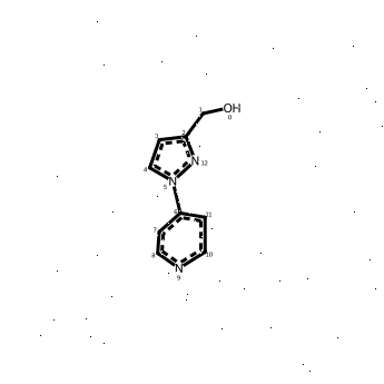 OCc1ccn(-c2ccncc2)n1